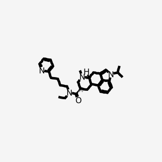 CCN(CCCCc1ccccn1)C(=O)[C@@H]1CC2c3cccc4c3c(cn4C(C)C)C[C@H]2N(C)C1